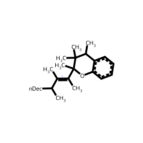 CCCCCCCCCCC(C)/C(C)=C(\C)C1(C)Oc2ccccc2C(C)C1(C)C